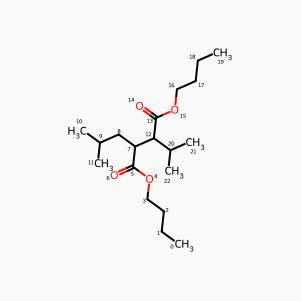 CCCCOC(=O)C(CC(C)C)C(C(=O)OCCCC)C(C)C